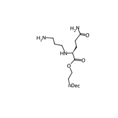 CCCCCCCCCCCCOC(=O)[C@H](CCC(N)=O)NCCCN